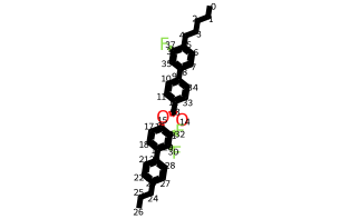 CCCCCc1ccc(-c2ccc(C(=O)Oc3ccc(-c4ccc(CCC)cc4)c(F)c3F)cc2)cc1F